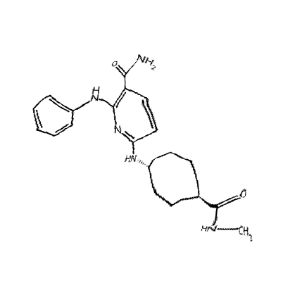 CNC(=O)[C@H]1CC[C@H](Nc2ccc(C(N)=O)c(Nc3ccccc3)n2)CC1